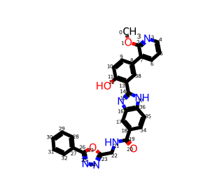 COc1ncccc1-c1ccc(O)c(-c2nc3cc(C(=O)NCc4nnc(-c5ccccc5)o4)ccc3[nH]2)c1